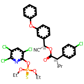 CC(C)[C@H](C(=O)O[C@H](C#N)c1cccc(Oc2ccccc2)c1)c1ccc(Cl)cc1.CCOP(=S)(OCC)Oc1nc(Cl)c(Cl)cc1Cl